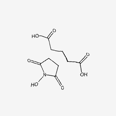 O=C(O)CCCC(=O)O.O=C1CCC(=O)N1O